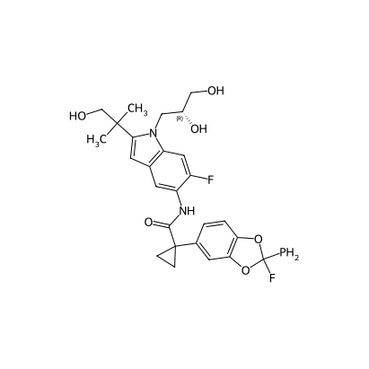 CC(C)(CO)c1cc2cc(NC(=O)C3(c4ccc5c(c4)OC(F)(P)O5)CC3)c(F)cc2n1C[C@@H](O)CO